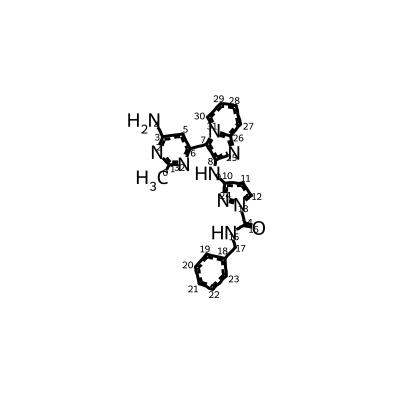 Cc1nc(N)cc(-c2c(Nc3ccn(C(=O)NCc4ccccc4)n3)nc3ccccn23)n1